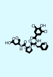 O=CC(CC(=O)O)NC(=O)[C@@H]1CCCN1C(=O)[C@H](Cc1cccnc1)NC(=O)c1cc(Cl)c(O)c(Cl)c1